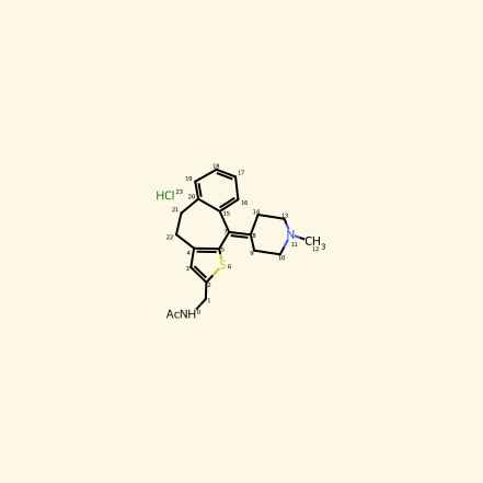 CC(=O)NCc1cc2c(s1)C(=C1CCN(C)CC1)c1ccccc1CC2.Cl